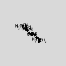 CCC(C)(CC(O)COC(=O)c1ccc(C(=O)OCC(O)CN2C(=O)N(C(C)(CC)CC)C(=O)C2(C)C)cc1)C1CC1